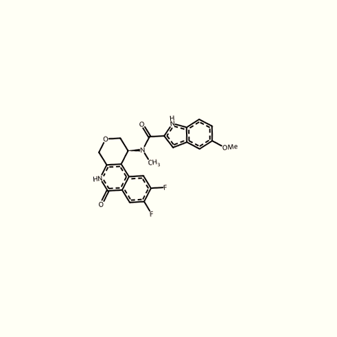 COc1ccc2[nH]c(C(=O)N(C)[C@@H]3COCc4[nH]c(=O)c5cc(F)c(F)cc5c43)cc2c1